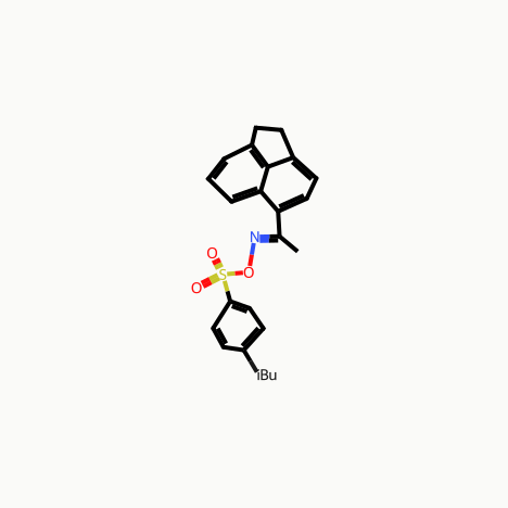 CCC(C)c1ccc(S(=O)(=O)ON=C(C)c2ccc3c4c(cccc24)CC3)cc1